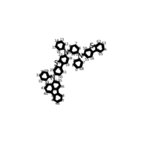 c1ccc(N(c2cccc(N(c3ccccc3)c3ccc4c(c3)sc3cc(N(c5ccccc5)c5ccc6c7c(cccc57)-c5ccccc5-6)ccc34)c2)c2ccc3c(c2)sc2ccccc23)cc1